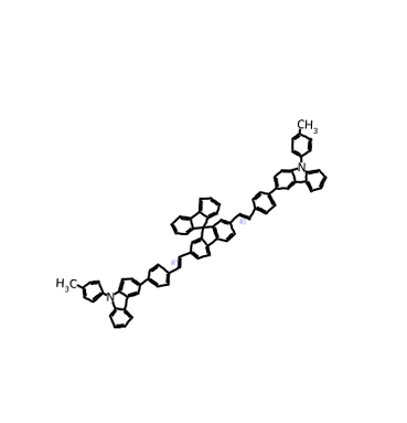 Cc1ccc(-n2c3ccccc3c3cc(-c4ccc(/C=C/c5ccc6c(c5)C5(c7ccccc7-c7ccccc75)c5cc(/C=C/c7ccc(-c8ccc9c(c8)c8ccccc8n9-c8ccc(C)cc8)cc7)ccc5-6)cc4)ccc32)cc1